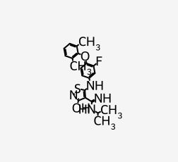 Cc1cccc(C)c1Oc1ccc(Nc2snc(O)c2C(=N)NC(C)C)cc1F